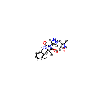 Cc1cccc(CN2C(=O)N(c3cnn(Cc4c(C)noc4C)c3)C(=O)C2(C)C)c1